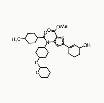 COC(=O)c1sc(C2=CC(O)CCC2)cc1N(C(=O)C1CCC(C)CC1)C1CCC(OC2CCCCO2)CC1